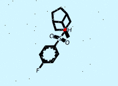 C=C1CC2CCC(C1)C2NS(=O)(=O)c1ccc(F)cc1